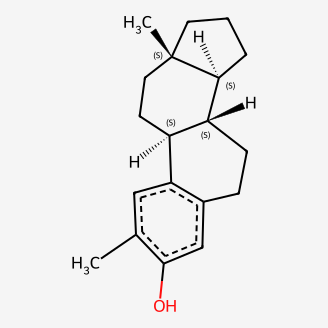 Cc1cc2c(cc1O)CC[C@@H]1[C@@H]2CC[C@]2(C)CCC[C@@H]12